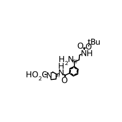 CC(C)(C)OC(=O)NCC[C@@H](N)c1cccc(C(=O)N[C@H]2CCN(C(=O)O)C2)c1